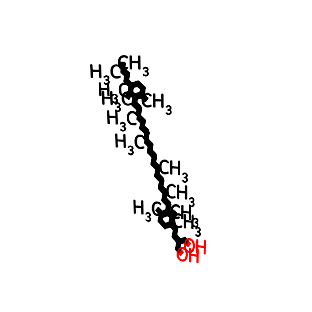 CC(C)=CCC1CCC(C)=C(/C=C/C(C)=C/C=C/C(C)=C/C=C/C=C(C)/C=C/C=C(C)/C=C/C2=C(C)CCC(CC=C(CO)CO)C2(C)C)C1(C)C